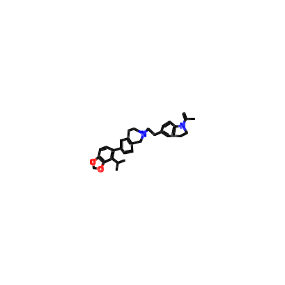 C=C(C)N1CCc2cc(CCN3CCc4cc(-c5ccc6c(c5C(C)C)OCO6)ccc4C3)ccc21